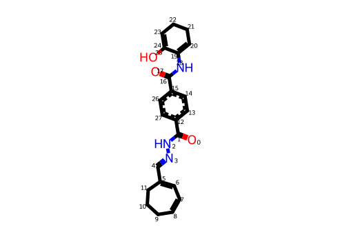 O=C(N/N=C/C1=CC=CCCC1)c1ccc(C(=O)NC2=CCCC=C2O)cc1